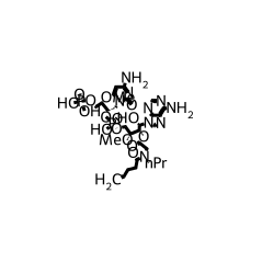 C=CCCC(=O)N(CCC)CC(=O)O[C@@H]([C@@H](O)n1cnc2c(N)ncnc21)[C@@H](COP(=O)(O)O[C@@H](Cn1ccc(N)nc1=O)[C@@H](COP(=O)(O)O)OC)OC